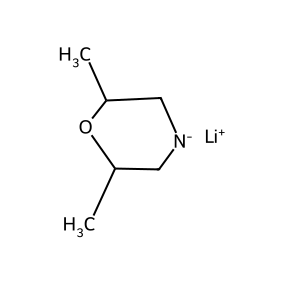 CC1C[N-]CC(C)O1.[Li+]